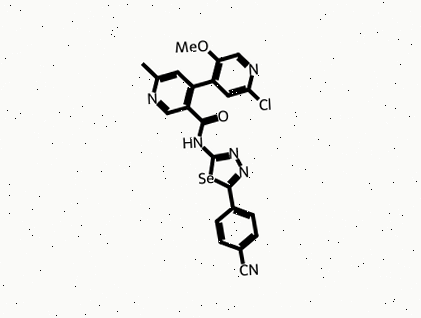 COc1cnc(Cl)cc1-c1cc(C)ncc1C(=O)Nc1nnc(-c2ccc(C#N)cc2)[se]1